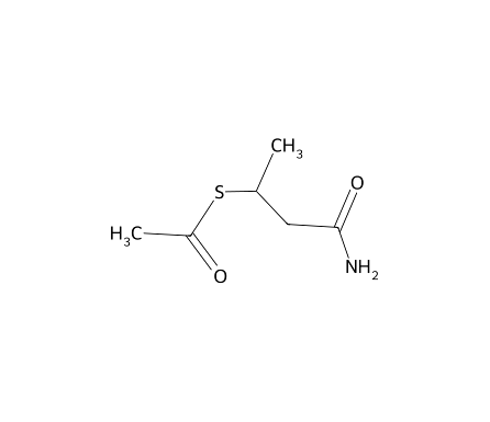 CC(=O)SC(C)CC(N)=O